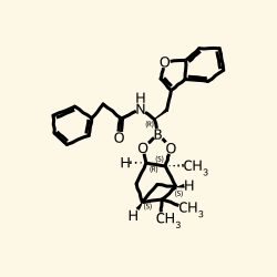 CC1(C)[C@@H]2C[C@H]3OB([C@H](Cc4coc5ccccc45)NC(=O)Cc4ccccc4)O[C@@]3(C)[C@H]1C2